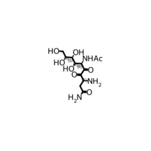 CC(=O)N[C@@H](C(=O)C(=O)[C@@H](N)CC(N)=O)[C@@H](O)[C@H](O)[C@H](O)CO